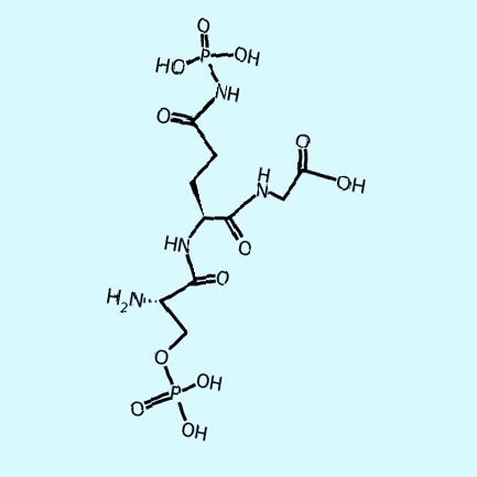 N[C@@H](COP(=O)(O)O)C(=O)N[C@@H](CCC(=O)NP(=O)(O)O)C(=O)NCC(=O)O